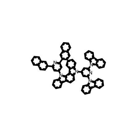 c1ccc2cc(-c3cc(-n4c5ccccc5c5ccc6c(c7ccccc7n6-c6cc(-n7c8ccccc8c8ccccc87)nc(-n7c8ccccc8c8ccccc87)c6)c54)cc(-c4ccc5ccccc5c4)n3)ccc2c1